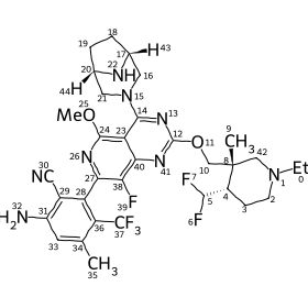 CCN1CC[C@H](C(F)F)[C@](C)(COc2nc(N3C[C@H]4CC[C@@H](C3)N4)c3c(OC)nc(-c4c(C#N)c(N)cc(C)c4C(F)(F)F)c(F)c3n2)C1